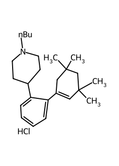 CCCCN1CCC(c2ccccc2C2=CC(C)(C)CC(C)(C)C2)CC1.Cl